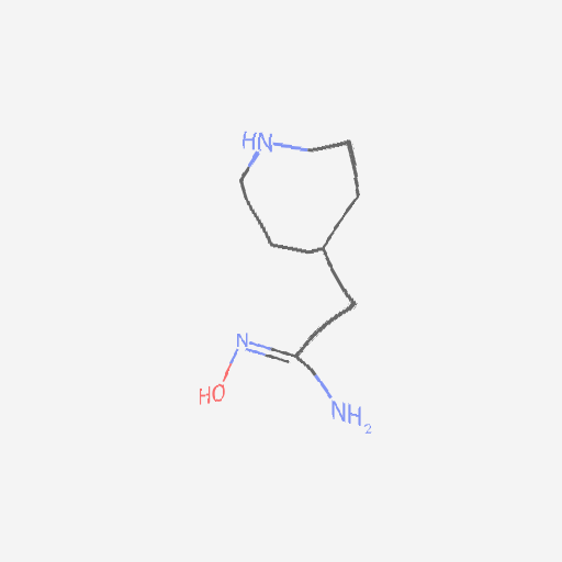 NC(CC1CCNCC1)=NO